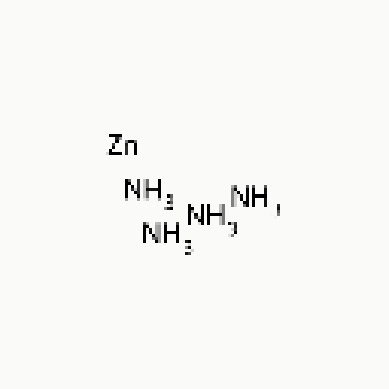 N.N.N.N.[Zn]